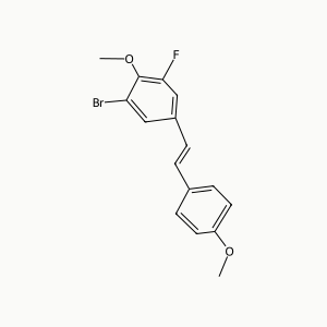 COc1ccc(C=Cc2cc(F)c(OC)c(Br)c2)cc1